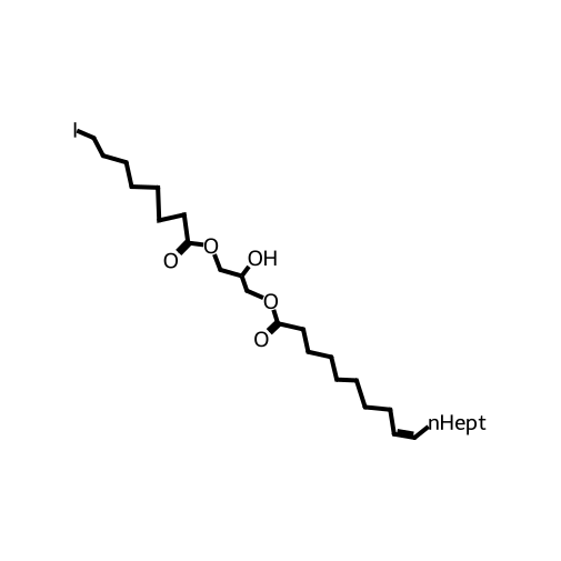 CCCCCCC/C=C\CCCCCCCC(=O)OCC(O)COC(=O)CCCCCCCI